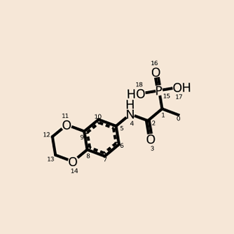 CC(C(=O)Nc1ccc2c(c1)OCCO2)P(=O)(O)O